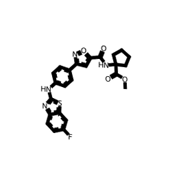 COC(=O)C1(NC(=O)c2cc(-c3ccc(Nc4nc5ccc(F)cc5s4)cc3)no2)CCCC1